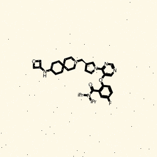 CC(C)N(C(=O)c1cc(F)ccc1Oc1cncnc1N1CC[C@@H](CN2CCC3(CCC(NC4COC4)CC3)CC2)C1)C(C)C